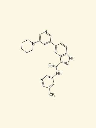 O=C(Nc1cncc(C(F)(F)F)c1)c1n[nH]c2ccc(-c3cncc(N4CCCCC4)c3)cc12